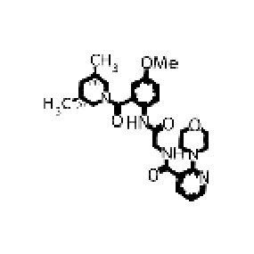 COc1ccc(NC(=O)CNC(=O)c2cccnc2N2CCOCC2)c(C(=O)N2C[C@H](C)C[C@H](C)C2)c1